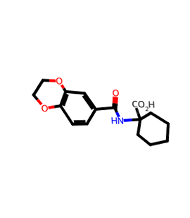 O=C(NC1(C(=O)O)CCCCC1)c1ccc2c(c1)OCCO2